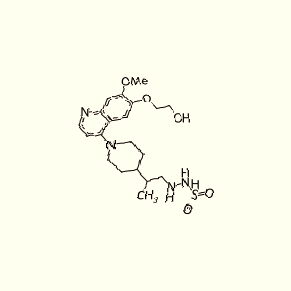 COc1cc2nccc(N3CCC(C(C)CNN[SH](=O)=O)CC3)c2cc1OCCO